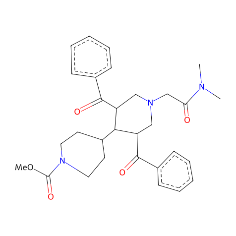 COC(=O)N1CCC(C2C(C(=O)c3ccccc3)CN(CC(=O)N(C)C)CC2C(=O)c2ccccc2)CC1